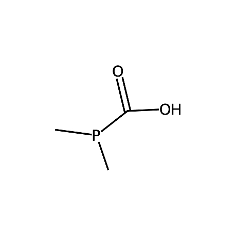 CP(C)C(=O)O